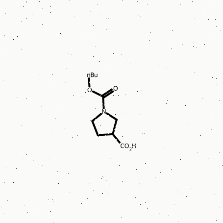 CCCCOC(=O)N1CCC(C(=O)O)C1